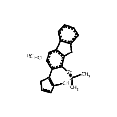 CC1=C(c2ccc3c([c]2[Zr]=[Si](C)C)Cc2ccccc2-3)CC=C1.Cl.Cl